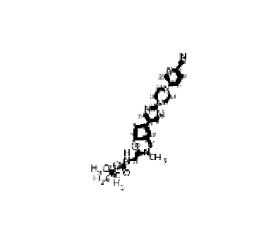 CN(Cc1cccc(-c2cnc(N3CCN(c4ccc(C#N)nc4)CC3)nc2)c1)C(=O)CNC(=O)OC(C)(C)C